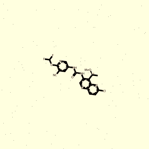 CO[C@@H](C)c1c(NC(=O)Nc2cnc(OC(F)F)c(C#N)c2)cnc2ccc(Cl)nc12